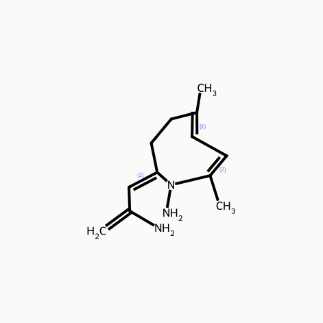 C=C(N)/C=C1/CC/C(C)=C/C=C(/C)N1N